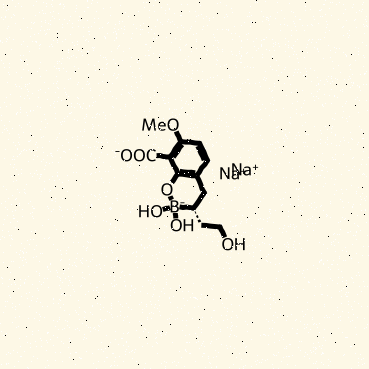 COc1ccc2c(c1C(=O)[O-])O[B-](O)(O)[C@@H](CCO)C2.[Na+].[Na+]